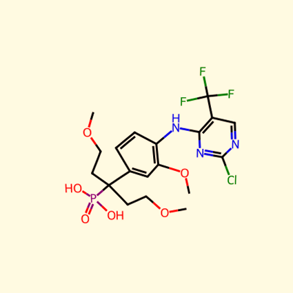 COCCC(CCOC)(c1ccc(Nc2nc(Cl)ncc2C(F)(F)F)c(OC)c1)P(=O)(O)O